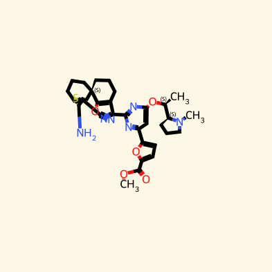 COC(=O)c1ccc(-c2cc(O[C@@H](C)[C@@H]3CCCN3C)nc(-c3noc4c3CCC[C@@]43CCCc4sc(N)c(C#N)c43)n2)o1